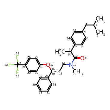 CC(C)Cc1ccc([C@H](C)C(=O)N(C)CC[C@@H](Oc2ccc(C(F)(F)F)cc2)c2ccccc2)cc1